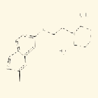 C[C@@H]1CCC[C@H](C)N1CCOc1ccc2ccc(Br)cc2c1